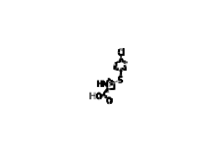 O=C(O)[C@@H]1C[C@@H](Sc2ccc(Cl)cc2)CN1